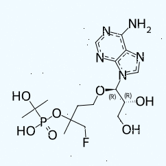 CC(CF)(CCO[C@H]([C@H](O)CO)n1cnc2c(N)ncnc21)OP(=O)(O)C(C)(C)O